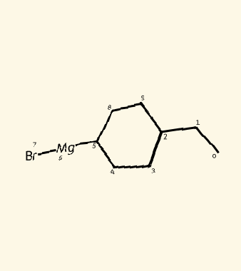 CCC1CC[CH]([Mg][Br])CC1